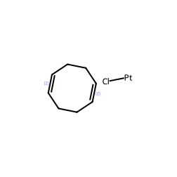 C1=C\CC/C=C\CC/1.[Cl][Pt]